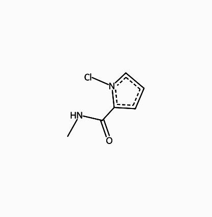 CNC(=O)c1cccn1Cl